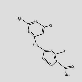 CC(C)(C)C(=O)c1ccc(Nc2cc(Cl)nc(N)n2)cc1F